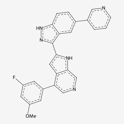 COc1cc(F)cc(-c2cncc3[nH]c(-c4n[nH]c5ccc(-c6cccnc6)cc45)cc23)c1